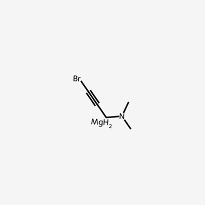 CN(C)CC#CBr.[MgH2]